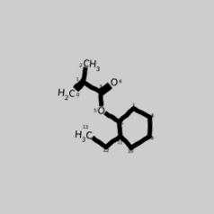 C=C(C)C(=O)OC1CCCCC1CC